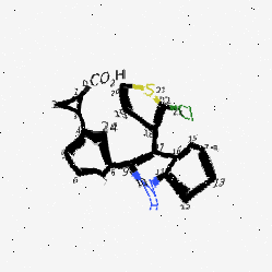 O=C(O)C1CC1c1cccc(-c2[nH]c3ccccc3c2-c2ccsc2Cl)c1